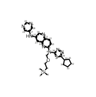 C[Si](C)(C)CCOCN(c1ccc2ncc(Nc3cncnc3)cc2n1)c1nnc(C2CCCC2)s1